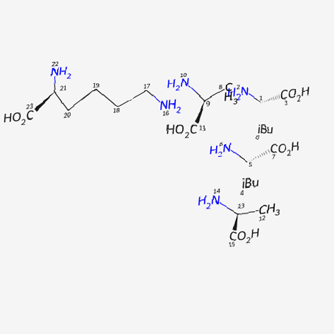 CC[C@H](C)[C@H](N)C(=O)O.CC[C@H](C)[C@H](N)C(=O)O.C[C@H](N)C(=O)O.C[C@H](N)C(=O)O.NCCCC[C@H](N)C(=O)O